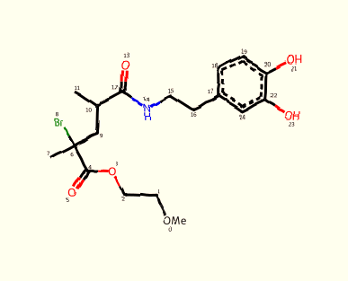 COCCOC(=O)C(C)(Br)CC(C)C(=O)NCCc1ccc(O)c(O)c1